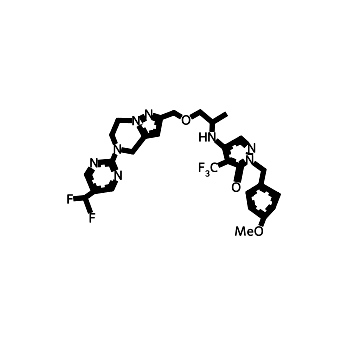 COc1ccc(Cn2ncc(NC(C)COCc3cc4n(n3)CCN(c3ncc(C(F)F)cn3)C4)c(C(F)(F)F)c2=O)cc1